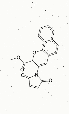 COC(=O)C1Oc2c(ccc3ccccc23)C=C1N1C(=O)C=CC1=O